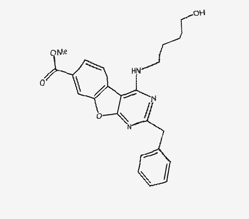 COC(=O)c1ccc2c(c1)oc1nc(Cc3ccccc3)nc(NCCCCO)c12